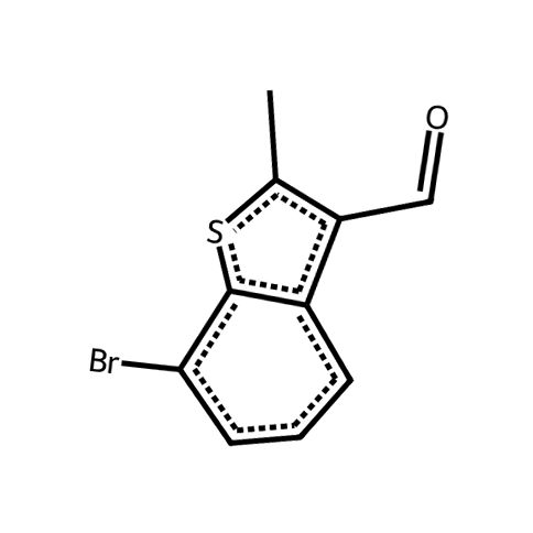 Cc1sc2c(Br)cccc2c1C=O